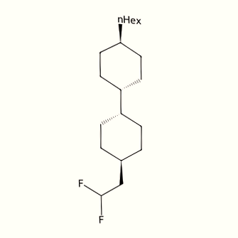 CCCCCC[C@H]1CC[C@H]([C@H]2CC[C@H](CC(F)F)CC2)CC1